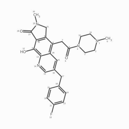 CN1CCN(C(=O)Cc2c3c(c(O)c4ncc(Cc5ccc(F)cc5)cc24)C(=O)N(C)C3)CC1